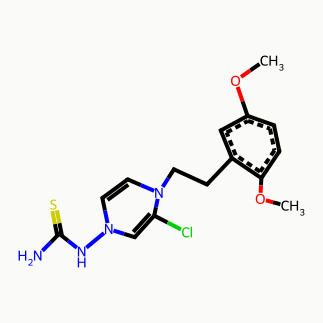 COc1ccc(OC)c(CCN2C=CN(NC(N)=S)C=C2Cl)c1